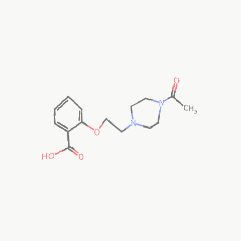 CC(=O)N1CCN(CCOc2ccccc2C(=O)O)CC1